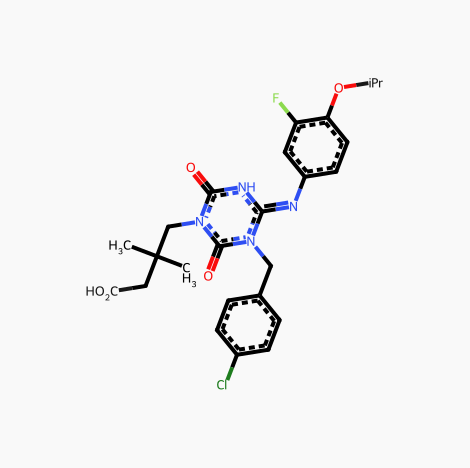 CC(C)Oc1ccc(/N=c2\[nH]c(=O)n(CC(C)(C)CC(=O)O)c(=O)n2Cc2ccc(Cl)cc2)cc1F